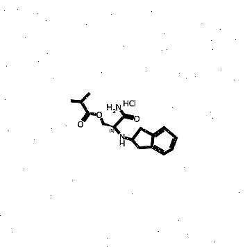 CC(C)C(=O)OC[C@H](NC1Cc2ccccc2C1)C(N)=O.Cl